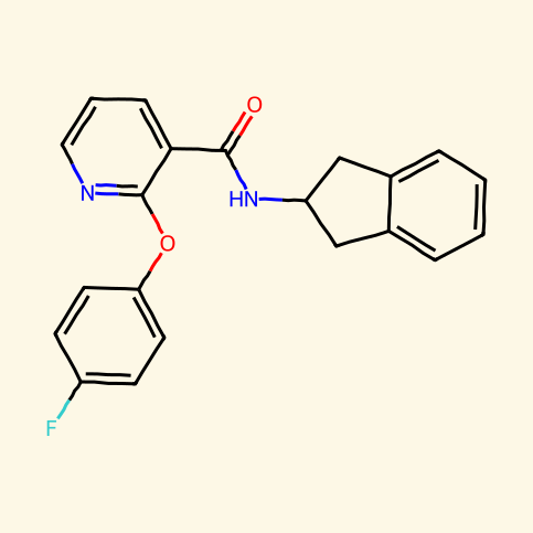 O=C(NC1Cc2ccccc2C1)c1cccnc1Oc1ccc(F)cc1